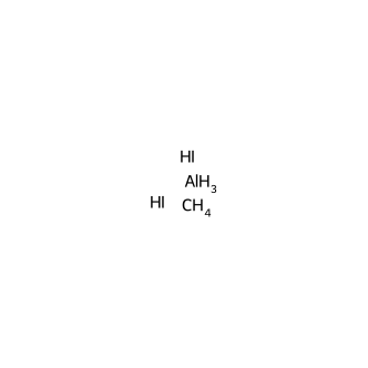 C.I.I.[AlH3]